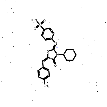 Cc1ccc(C=C2S/C(=N\c3ccc(S(N)(=O)=O)cc3)N(C3CCCCC3)C2=O)cc1